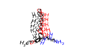 CC(=O)O.CC(=O)O.CC(=O)O.CC(=O)O.CC(=O)O.CCOc1ccc(CNCCNCCN)cc1